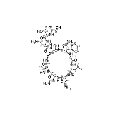 CC(C)C[C@@H]1NC(=O)[C@@H](Cc2ccccc2)NC(=O)[C@H](CCN)NC(=O)[C@@H](NC(=O)[C@H](CCN)NC(=O)[C@@H](NC(=O)CO)C(C)O)CCNC(=O)[C@H](C(C)O)NC(=O)[C@H](CCN)NC(=O)C(CCN)NC1=O